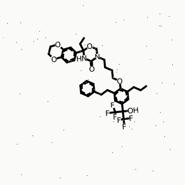 CCCc1cc(C(O)(C(F)(F)F)C(F)(F)F)cc(CCc2ccccc2)c1OCCCCN1COC(CC)(c2ccc3c(c2)OCCO3)NC1=O